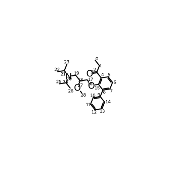 CCC(=O)c1cccc(-c2ccccc2)c1OCC(CN(C(C)C)C(C)C)OC